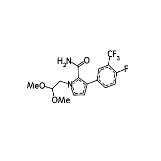 COC(Cn1ccc(-c2ccc(F)c(C(F)(F)F)c2)c1C(N)=O)OC